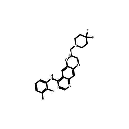 Cc1cccc(Nc2ncnc3cc4c(cc23)O[C@@H](CN2CCC(F)(F)CC2)CO4)c1F